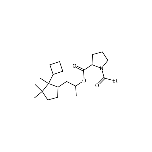 CCC(=O)N1CCCC1C(=O)OC(C)CC1CCC(C)(C)C1(C)C1CCC1